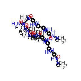 C[C@@H](C(=O)N(C)[C@@H](C)C(=O)N(C)[C@@H](C)C(=O)N(C)[C@@H](C)C(=O)N(C)[C@@H](C)C(=O)N(CCCCN(C)C(=O)c1ccc(-c2nc3cc(-c4ccc5[nH]c(-c6ccc(C(=O)NCCN(C)C)cc6)nc5c4)ccc3[nH]2)cc1)CC(N)=O)N(C)C(=O)c1ccc(-c2nc3cc(-c4ccc5[nH]c(-c6ccc(C(=O)NCCN(C)C)cc6)nc5c4)ccc3[nH]2)cc1